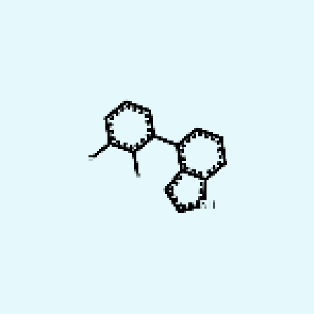 Fc1cccc(-c2cccc3[nH]ccc23)c1F